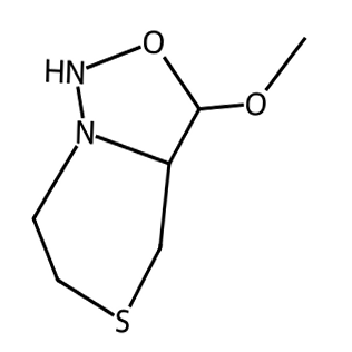 COC1ONN2CCSCC12